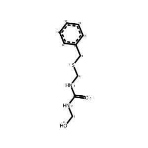 O=C(NCO)NCSCc1ccccc1